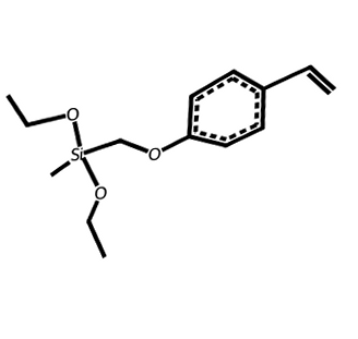 C=Cc1ccc(OC[Si](C)(OCC)OCC)cc1